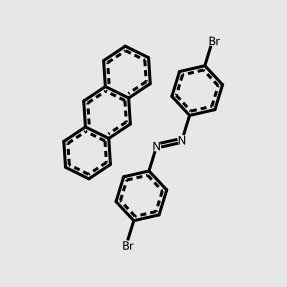 Brc1ccc(N=Nc2ccc(Br)cc2)cc1.c1ccc2cc3ccccc3cc2c1